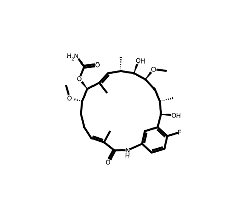 CO[C@H]1C[C@H](C)[C@@H](O)c2cc(ccc2F)NC(=O)/C(C)=C/CC[C@H](OC)[C@@H](OC(N)=O)/C(C)=C/[C@H](C)[C@H]1O